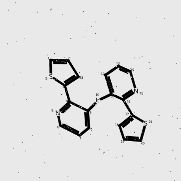 c1csc(-c2nccc[c]2[Ir][c]2cccnc2-c2cccs2)c1